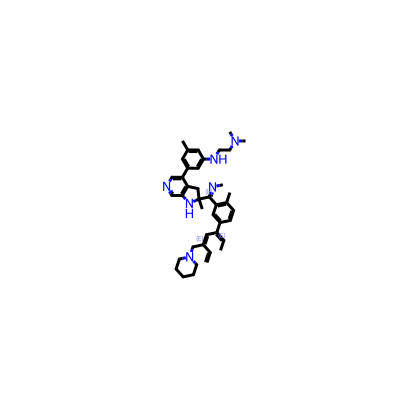 C=C/C(=C\C(=C/C)c1ccc(C)c(/C(=N\C)C2(C)Cc3c(cncc3-c3cc(C)cc(NCCN(C)C)c3)N2)c1)CN1CCCCC1